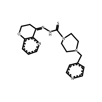 S=C(N/N=C1/CCOc2cccnc21)N1CCN(Cc2ccncc2)CC1